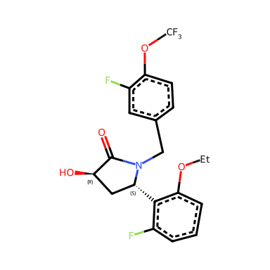 CCOc1cccc(F)c1[C@@H]1C[C@@H](O)C(=O)N1Cc1ccc(OC(F)(F)F)c(F)c1